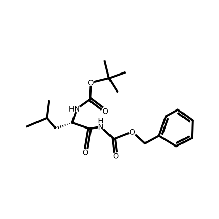 CC(C)C[C@H](NC(=O)OC(C)(C)C)C(=O)NC(=O)OCc1ccccc1